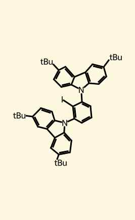 CC(C)(C)c1ccc2c(c1)c1cc(C(C)(C)C)ccc1n2-c1cccc(-n2c3ccc(C(C)(C)C)cc3c3cc(C(C)(C)C)ccc32)c1I